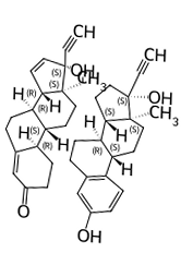 C#C[C@]1(O)C=C[C@H]2[C@@H]3CCC4=CC(=O)CC[C@@H]4[C@H]3CC[C@@]21CC.C#C[C@]1(O)CC[C@H]2[C@@H]3CCc4cc(O)ccc4[C@H]3CC[C@@]21C